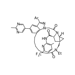 CCN1C[C@@]23C[C@@H](C(=O)Nc4nc(C(F)(F)F)ccc4C)N(C(=O)Cn4nc(C(C)=O)c5cc(-c6cnc(C)nc6)cc(c54)CCCCCCC1=O)[C@@H]2C3